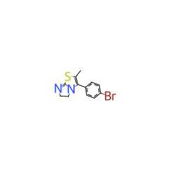 CC1=C(c2ccc(Br)cc2)N2CCN=C2S1